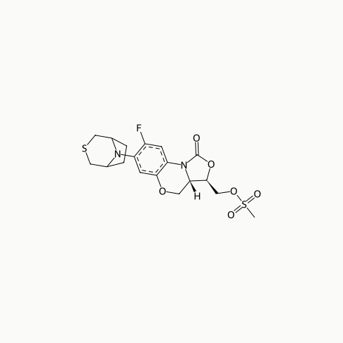 CS(=O)(=O)OC[C@@H]1OC(=O)N2c3cc(F)c(N4C5CCC4CSC5)cc3OC[C@@H]12